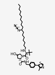 CCCCCCCCCCC(CCCCCCCN[C@H](C(=O)N1C[C@H](O)C[C@H]1C(=O)NCc1ccc(-c2scnc2C)cc1)C(C)(C)C)N=[N+]=[N-]